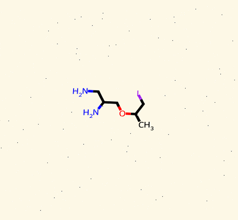 CC(CI)OCC(N)CN